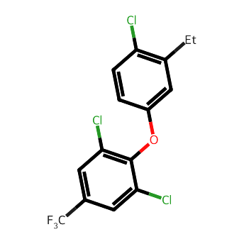 [CH2]Cc1cc(Oc2c(Cl)cc(C(F)(F)F)cc2Cl)ccc1Cl